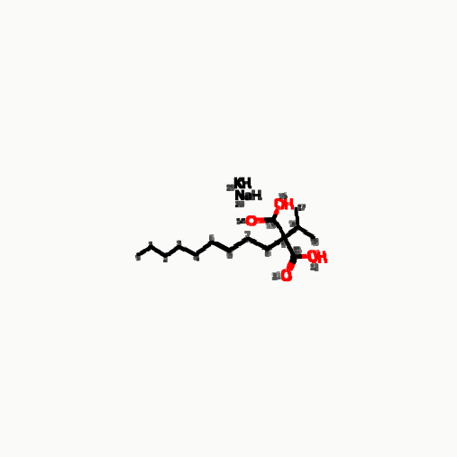 CCCCCCCCCC(C(=O)O)(C(=O)O)C(C)C.[KH].[NaH]